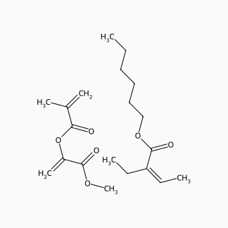 C=C(C)C(=O)OC(=C)C(=O)OC.CC=C(CC)C(=O)OCCCCCC